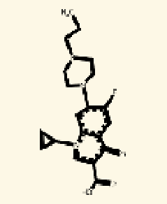 CCCN1CCN(c2cc3c(cc2F)c(=O)c(C(=O)O)cn3C2CC2)CC1